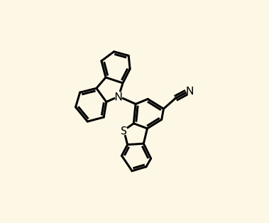 N#Cc1cc(-n2c3ccccc3c3ccccc32)c2sc3ccccc3c2c1